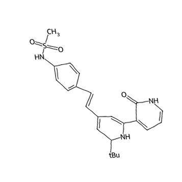 CC(C)(C)C1C=C(/C=C/c2ccc(NS(C)(=O)=O)cc2)C=C(c2ccc[nH]c2=O)N1